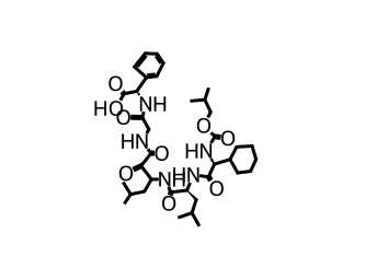 CC(C)COC(=O)N[C@H](C(=O)N[C@@H](CC(C)C)C(=O)NC(CC(C)C)C(=O)C(=O)NCC(=O)N[C@H](C(=O)O)c1ccccc1)C1CCCCC1